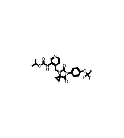 CC(C)OC(=O)Nc1cnccc1CN1C(=O)N(c2ccc(OC(F)(F)F)cc2)C(=O)C12CC2